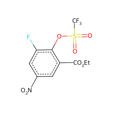 CCOC(=O)c1cc([N+](=O)[O-])cc(F)c1OS(=O)(=O)C(F)(F)F